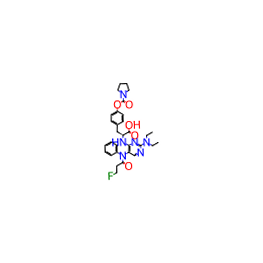 CCN(CC)c1ncc(N(C(=O)CCF)c2ccccc2)c(N[C@@H](Cc2ccc(OC(=O)N3CCCC3)cc2)C(=O)O)n1